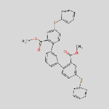 COC(=O)c1cc(Sc2ccccc2)ccc1-c1cccc(-c2ccc(Sc3ccccc3)cc2C(=O)OC)c1